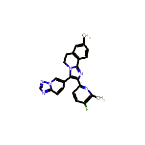 Cc1ccc2c(c1)CCn1c-2nc(-c2ccc(F)c(C)n2)c1-c1ccc2ncnn2c1